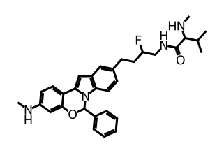 CNc1ccc2c(c1)OC(c1ccccc1)n1c-2cc2cc(CCC(F)CNC(=O)C(NC)C(C)C)ccc21